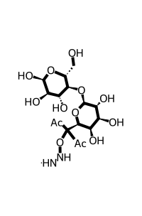 CC(=O)C(ON[NH])(C(C)=O)[C@H]1O[C@@H](O[C@H]2[C@H](O)[C@@H](O)[C@@H](O)O[C@@H]2CO)[C@H](O)[C@@H](O)[C@H]1O